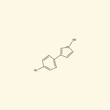 CC(=O)c1ccc(C2=C[SH](S)C=C2)cc1